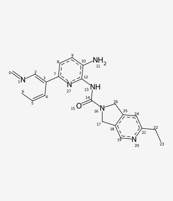 C=N/C=C(\C=C/C)c1ccc(N)c(NC(=O)N2Cc3cnc(CC)cc3C2)n1